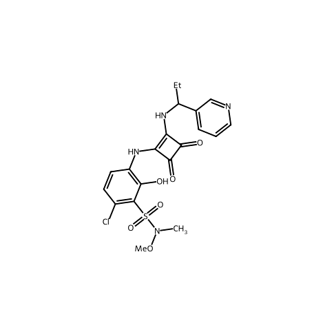 CCC(Nc1c(Nc2ccc(Cl)c(S(=O)(=O)N(C)OC)c2O)c(=O)c1=O)c1cccnc1